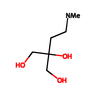 CNCCC(O)(CO)CO